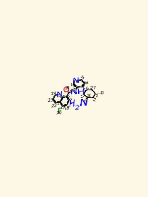 C[C@@H]1C[C@H](N)C[C@H](c2ccncc2NC(=O)c2ccc(F)c3cccnc23)C1